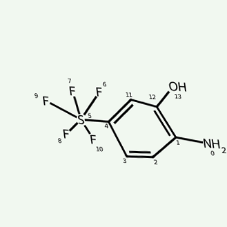 Nc1ccc(S(F)(F)(F)(F)F)cc1O